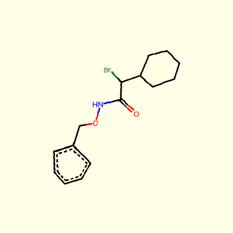 O=C(NOCc1ccccc1)C(Br)C1CCCCC1